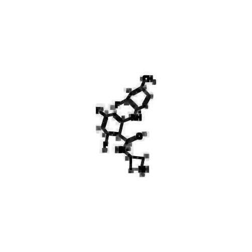 Cc1ccc(Nc2cc(F)cc(F)c2C(=O)NC2CNC2)c(F)c1